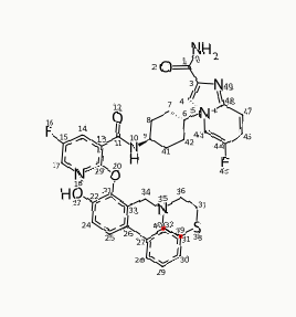 NC(=O)C1=C[N@@+]2([C@H]3CC[C@H](NC(=O)c4cc(F)cnc4Oc4c(O)ccc(-c5ccccc5)c4CN4CCSCC4)CC3)C=C(F)C=CC2=N1